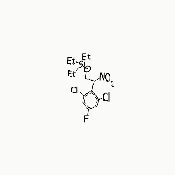 CC[Si](CC)(CC)OCC(c1c(Cl)cc(F)cc1Cl)[N+](=O)[O-]